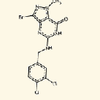 Cn1nc(Br)c2nc(NCc3ccc(Cl)c(Cl)c3)[nH]c(=O)c21